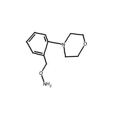 NOCc1ccccc1N1CCOCC1